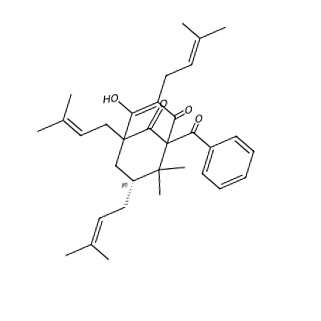 CC(C)=CCC1=C(O)C2(CC=C(C)C)C[C@@H](CC=C(C)C)C(C)(C)C(C(=O)c3ccccc3)(C1=O)C2=O